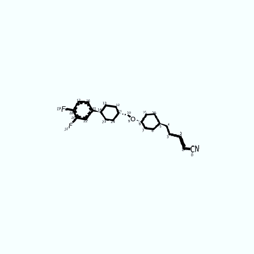 N#CC=CCC[C@H]1CC[C@H](OC[C@H]2CC[C@H](c3ccc(F)c(F)c3)CC2)CC1